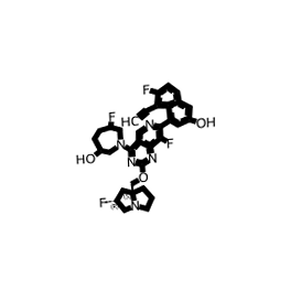 C#Cc1c(F)ccc2cc(O)cc(-c3ncc4c(N5CC(O)CCC(F)C5)nc(OC[C@@]56CCCN5C[C@H](F)C6)nc4c3F)c12